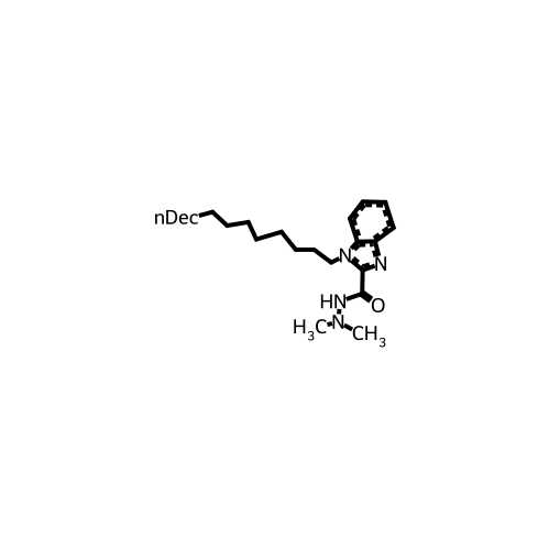 CCCCCCCCCCCCCCCCCCn1c(C(=O)NN(C)C)nc2ccccc21